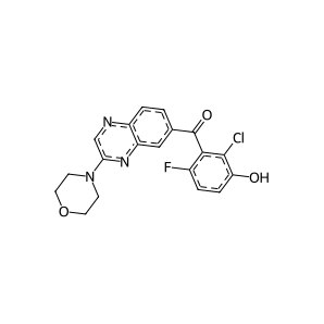 O=C(c1ccc2ncc(N3CCOCC3)nc2c1)c1c(F)ccc(O)c1Cl